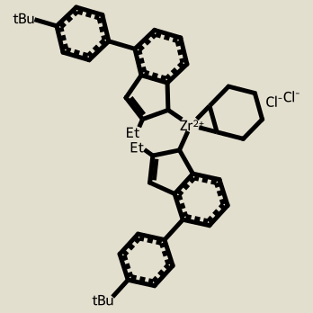 CCC1=Cc2c(-c3ccc(C(C)(C)C)cc3)cccc2[CH]1[Zr+2]1([CH]2C(CC)=Cc3c(-c4ccc(C(C)(C)C)cc4)cccc32)[CH]2CCCC[CH]21.[Cl-].[Cl-]